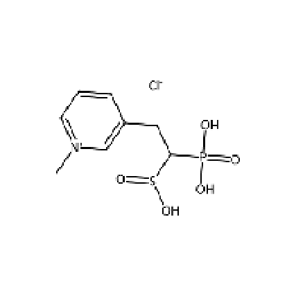 C[n+]1cccc(CC(S(=O)O)P(=O)(O)O)c1.[Cl-]